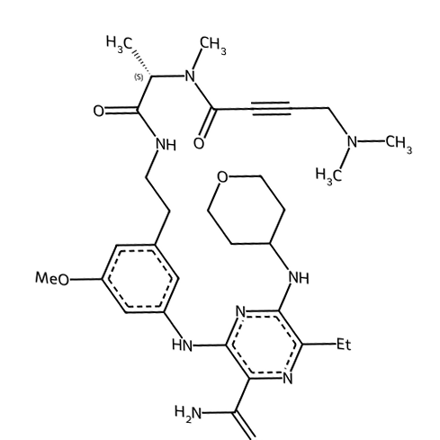 CCc1nc(C(N)=O)c(Nc2cc(CCNC(=O)[C@H](C)N(C)C(=O)C#CCN(C)C)cc(OC)c2)nc1NC1CCOCC1